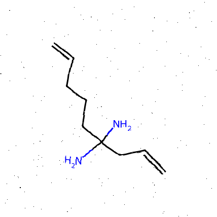 C=CCCCC(N)(N)CC=C